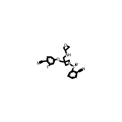 N#Cc1ccc(OCC2(CNC3COC3)CN([S+]([O-])c3ccccc3C#N)C2)cc1F